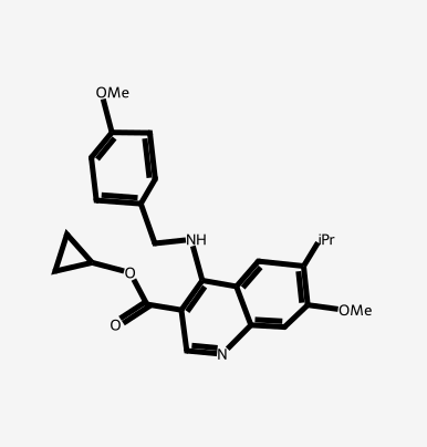 COc1ccc(CNc2c(C(=O)OC3CC3)cnc3cc(OC)c(C(C)C)cc23)cc1